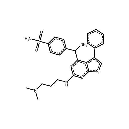 CN(C)CCCNc1nc(C(N)c2ccc(S(N)(=O)=O)cc2)c2c(-c3ccccc3)csc2n1